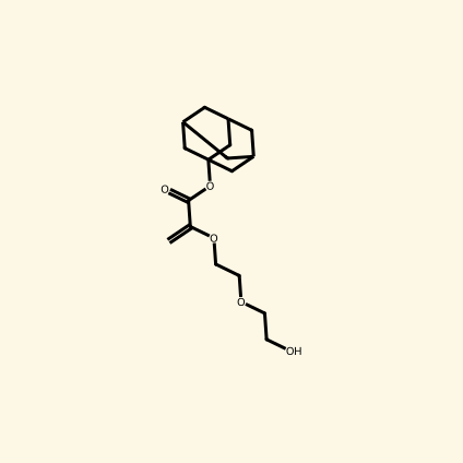 C=C(OCCOCCO)C(=O)OC12CC3CC(CC(C3)C1)C2